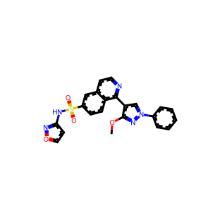 COc1nn(-c2ccccc2)cc1-c1nccc2cc(S(=O)(=O)Nc3ccon3)ccc12